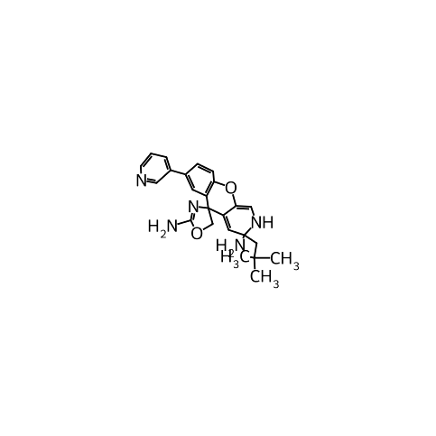 CC(C)(C)CC1(N)C=C2C(=CN1)Oc1ccc(-c3cccnc3)cc1C21COC(N)=N1